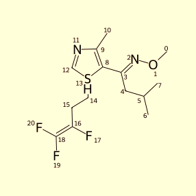 CON=C(CC(C)C)C1=C(C)N=C[SH]1CCC(F)=C(F)F